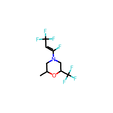 CC1CN(/C(F)=C/C(F)(F)F)CC(C(F)(F)F)O1